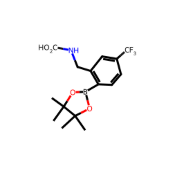 CC1(C)OB(c2ccc(C(F)(F)F)cc2CNC(=O)O)OC1(C)C